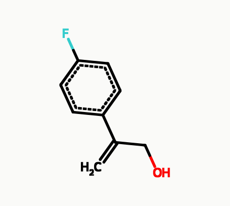 C=C(CO)c1ccc(F)cc1